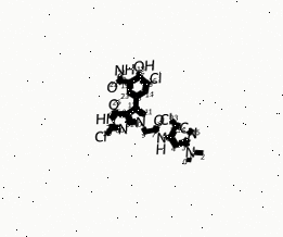 CN(C)c1cc(NC(=O)Cn2cc(-c3cc(Cl)c(O)c(C(N)=O)c3)c3c(=O)[nH]c(Cl)nc32)c(Cl)cn1